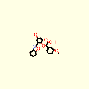 COc1cccc(C(Oc2ccc(OC)cc2-c2nc3ccccc3o2)C(=O)O)c1